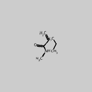 C=CC(=O)NC.CCC